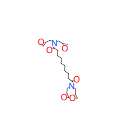 O=C(CCCCCCCCC(=O)N(CC1CO1)CC1CO1)N(CC1CO1)CC1CO1